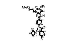 CCCn1c(=O)c2[nH]c(-c3ccc(N(CCN4CCCC4=O)C(=O)c4ccc(C)nc4)nc3)nc2n(CCCOC)c1=O